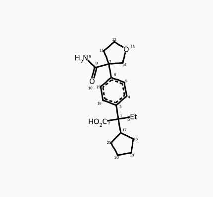 CCC(C(=O)O)(c1ccc(C2(C(N)=O)CCOC2)cc1)C1CCCC1